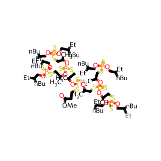 CCCCC(CC)COP(=S)(OCC(CC)CCCC)SCC(C)OP(=S)(OC(C)CSP(=S)(OCC(CC)CCCC)OCC(CC)CCCC)SCC(C)OP(=S)(OC(C)CSP(=S)(OC(C)CSP(=S)(OCC(CC)CCCC)OCC(CC)CCCC)OC(C)CSP(=S)(OCC(CC)CCCC)OCC(CC)CCCC)SCCC(=O)OC